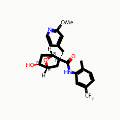 COc1cc(C[C@]2(C(=O)Nc3cc(C(F)(F)F)ccc3C)C[C@H]3O[C@@H]2C[C@@H]3O)ccn1